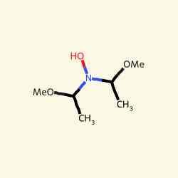 COC(C)N(O)C(C)OC